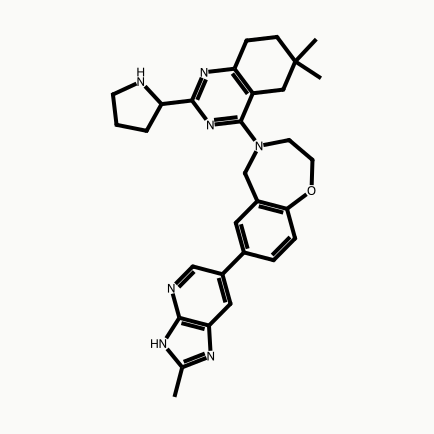 Cc1nc2cc(-c3ccc4c(c3)CN(c3nc(C5CCCN5)nc5c3CC(C)(C)CC5)CCO4)cnc2[nH]1